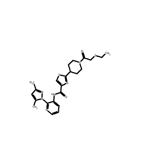 CCSCC(=O)N1CCC(c2nc(C(=O)Nc3cccnc3-n3nc(C)cc3C)cs2)CC1